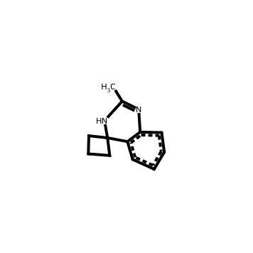 CC1=Nc2ccccc2C2(CCC2)N1